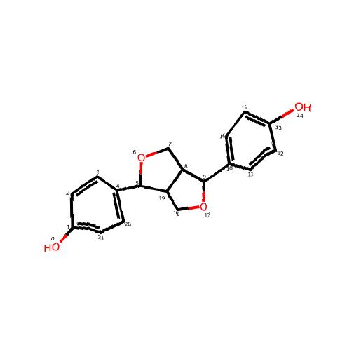 Oc1ccc(C2OCC3C(c4ccc(O)cc4)OCC23)cc1